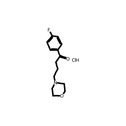 Cl.O=C(CCCN1CCOCC1)c1ccc(F)cc1